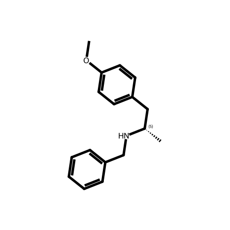 COc1ccc(C[C@H](C)NCc2ccccc2)cc1